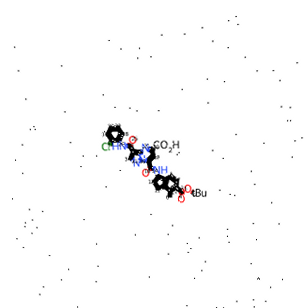 Cc1c(C(=O)OC(C)(C)C)ccc2c1CC[C@@H]2NC(=O)c1cc(C(=O)O)nc2c(C(=O)Nc3ccccc3Cl)cnn12